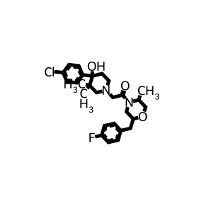 CC1COC(Cc2ccc(F)cc2)CN1C(=O)CN1CCC(O)(c2ccc(Cl)cc2)C(C)(C)C1